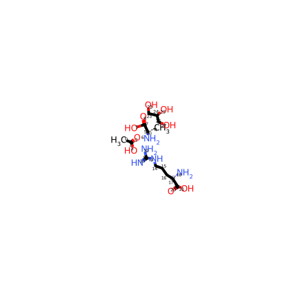 CC(=O)O.C[C@H](N)C(=O)O.N=C(N)NCCC[C@H](N)C(=O)O.OCC(O)CO